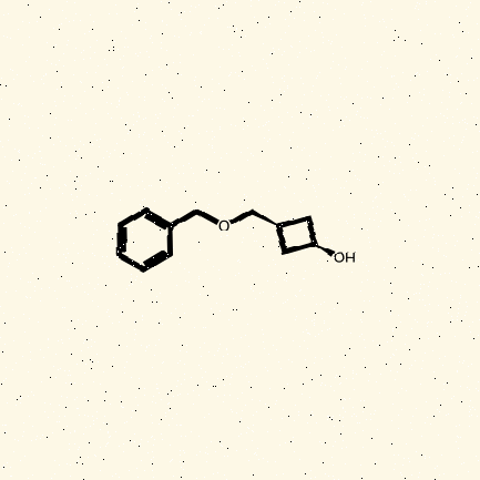 O[C@H]1C[C@@H](COCc2ccccc2)C1